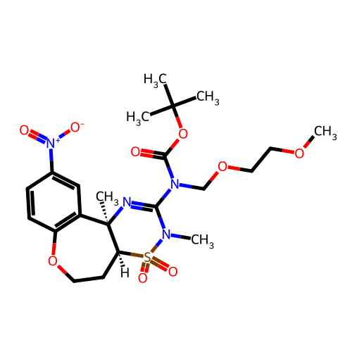 COCCOCN(C(=O)OC(C)(C)C)C1=N[C@]2(C)c3cc([N+](=O)[O-])ccc3OCC[C@@H]2S(=O)(=O)N1C